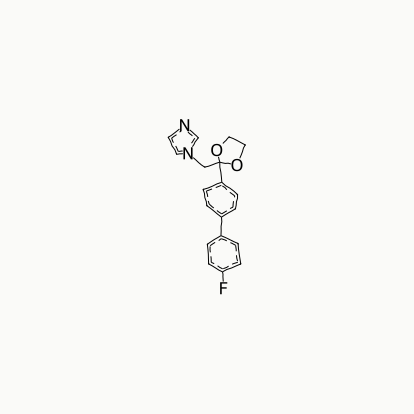 Fc1ccc(-c2ccc(C3(Cn4ccnc4)OCCO3)cc2)cc1